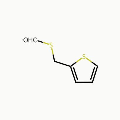 O=[C]SCc1cccs1